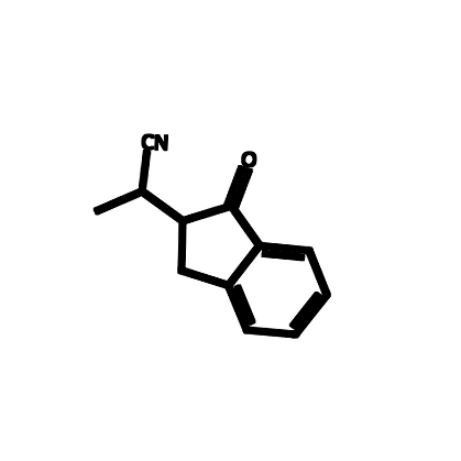 CC(C#N)C1Cc2ccccc2C1=O